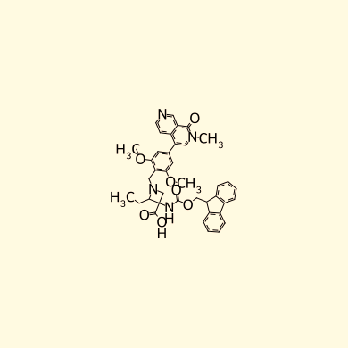 CCC1N(Cc2c(OC)cc(-c3cn(C)c(=O)c4cnccc34)cc2OC)CC1(NC(=O)OCC1c2ccccc2-c2ccccc21)C(=O)O